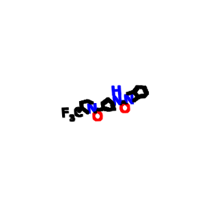 O=C(Nc1ccc(C(=O)N2CCCC(C(F)(F)F)C2)cc1)N1Cc2ccccc2C1